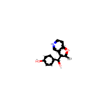 CCc1oc2ccncc2c1C(=O)c1ccc(O)cc1